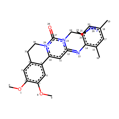 COc1cc2c(cc1OC)-c1c/c(=N/c3c(C)cc(C)cc3C)n(CCN)c(=O)n1CC2